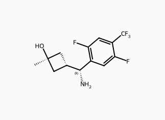 C[C@]1(O)C[C@H]([C@@H](N)c2cc(F)c(C(F)(F)F)cc2F)C1